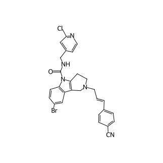 N#Cc1ccc(/C=C/CN2CCc3c(c4cc(Br)ccc4n3C(=O)NCc3ccnc(Cl)c3)C2)cc1